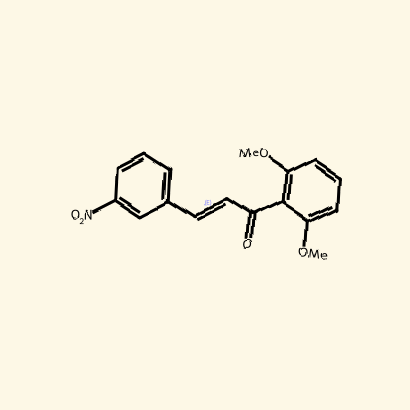 COc1cccc(OC)c1C(=O)/C=C/c1cccc([N+](=O)[O-])c1